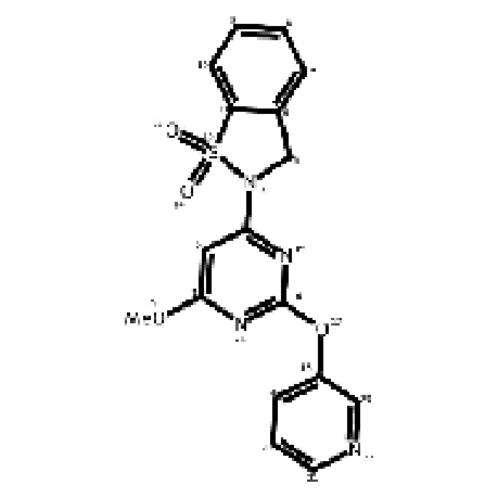 COc1cc(N2Cc3ccccc3S2(=O)=O)nc(Oc2cccnc2)n1